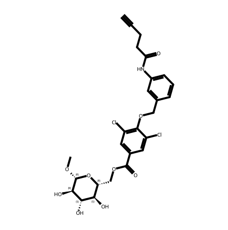 C#CCCC(=O)Nc1cccc(COc2c(Cl)cc(C(=O)OC[C@H]3O[C@@H](OC)[C@H](O)[C@@H](O)[C@@H]3O)cc2Cl)c1